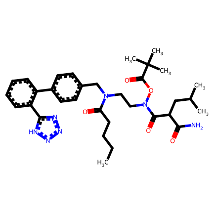 CCCCC(=O)N(CCN(OC(=O)C(C)(C)C)C(=O)C(CC(C)C)C(N)=O)Cc1ccc(-c2ccccc2-c2nnn[nH]2)cc1